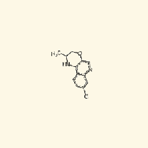 CC1COc2cnc3cc(Cl)ccc3c2N1